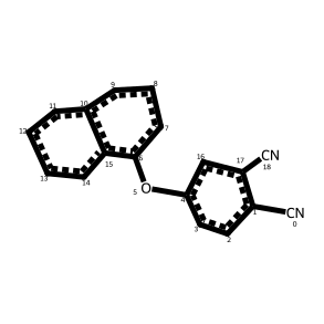 N#Cc1ccc(Oc2cccc3ccccc23)cc1C#N